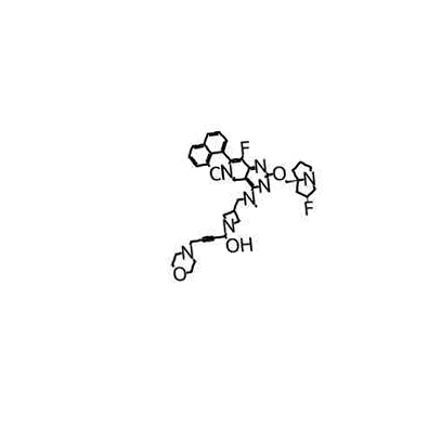 CN(CC1CN(C(O)C#CCN2CCOCC2)C1)c1nc(OC[C@@]23CCCN2C[C@H](F)C3)nc2c(F)c(-c3cccc4cccc(Cl)c34)ncc12